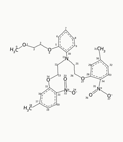 COCCOc1ccccc1N(CCOc1cc(C)ccc1[N+](=O)[O-])CCOc1cc(C)ccc1[N+](=O)[O-]